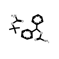 CC(C)(C)OC(N)=O.NC(=O)OC(c1ccccc1)c1ccccc1